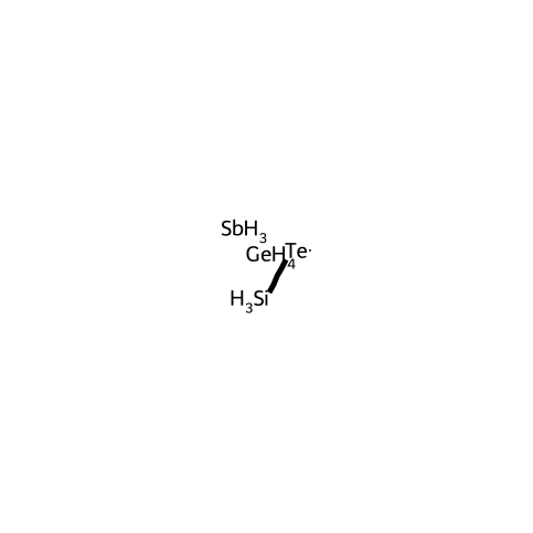 [GeH4].[SbH3].[SiH3][Te]